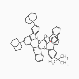 CC(C)(C)c1ccc(N2c3c4c(cc5ccccc35)-c3cc(C56CCCC(CCC5)C6)cc5c6cc(C78CCCC(CCC7)C8)ccc6n(c35)B4c3oc4c(ccc5ccccc54)c32)c(-c2ccccc2)c1